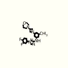 Cc1cc(Nc2ncn(-c3ccc(F)c(F)c3)n2)cc(N2CC(N3CCCOCC3)C2)c1